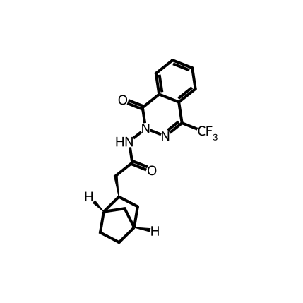 O=C(C[C@H]1C[C@@H]2CC[C@H]1C2)Nn1nc(C(F)(F)F)c2ccccc2c1=O